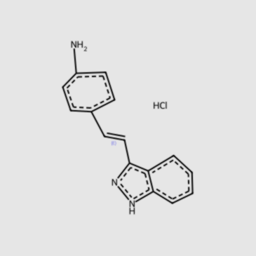 Cl.Nc1ccc(/C=C/c2n[nH]c3ccccc23)cc1